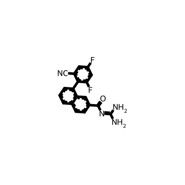 N#Cc1cc(F)cc(F)c1-c1cccc2ccc(C(=O)N=C(N)N)cc12